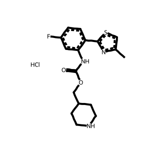 Cc1csc(-c2ccc(F)cc2NC(=O)OCC2CCNCC2)n1.Cl